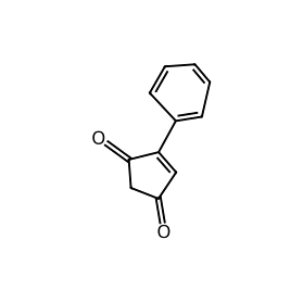 O=C1C=C(c2ccccc2)C(=O)C1